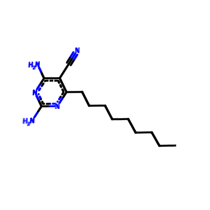 CCCCCCCCCc1nc(N)nc(N)c1C#N